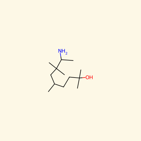 CC(CCC(C)(C)O)CC(C)(C)C(C)N